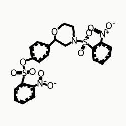 O=[N+]([O-])c1ccccc1S(=O)(=O)Oc1ccc(C2CN(S(=O)(=O)c3ccccc3[N+](=O)[O-])CCO2)cc1